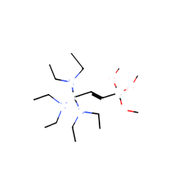 CCN(CC)[Si](C=C[Si](OC)(OC)OC)(N(CC)CC)N(CC)CC